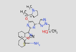 C[C@H](O)Cn1ncc(-c2cc(O[C@@H](C)[C@@H]3CCCN3C)nc(-c3noc4c3CCC[C@@]43CCCc4sc(N)c(C#N)c43)n2)n1